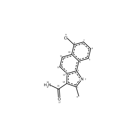 Cc1nc2c3cccc(Cl)c3ccn2c1C(N)=O